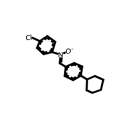 [O-][N+](=Cc1ccc(C2CCCCC2)cc1)c1ccc(Cl)cc1